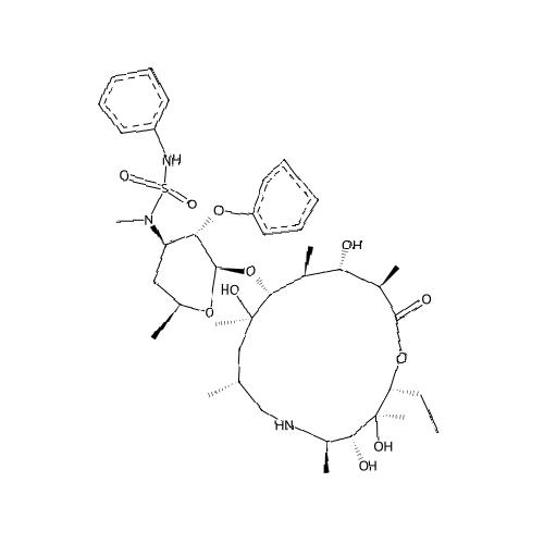 CC[C@H]1OC(=O)[C@H](C)[C@@H](O)[C@H](C)[C@@H](O[C@H]2O[C@@H](C)C[C@@H](N(C)S(=O)(=O)Nc3ccccc3)[C@@H]2Oc2ccccc2)[C@](C)(O)C[C@@H](C)CN[C@H](C)[C@@H](O)[C@]1(C)O